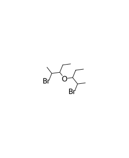 CCC(OC(CC)C(C)Br)C(C)Br